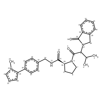 CC(C)C(C(=O)N1CCC[C@H]1C(=O)NCc1ccc(-c2cncn2C)cc1)N1Cc2ccccc2C1=O